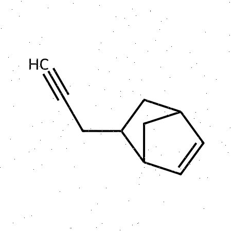 C#CCC1CC2C=CC1C2